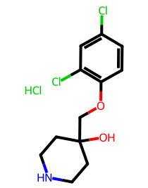 Cl.OC1(COc2ccc(Cl)cc2Cl)CCNCC1